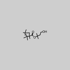 CC(C)(C)CC(C)(C(=O)OC(C)(C)CCO)C(C)(C)C